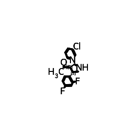 C[C@H](Oc1ccc(Cl)cn1)[C@H]1CNC[C@@H]1c1ccc(F)cc1F